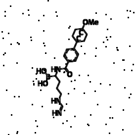 COC12CCC(c3ccc(C(=O)NC(CCCNC=N)B(O)O)cc3)(CC1)CC2